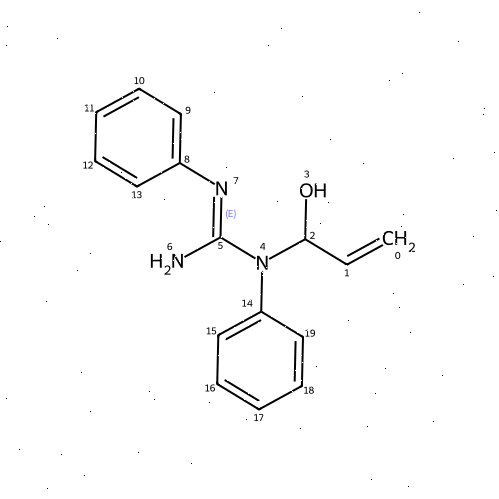 C=CC(O)N(/C(N)=N/c1ccccc1)c1ccccc1